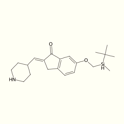 C[SiH](COc1ccc2c(c1)C(=O)/C(=C/C1CCNCC1)C2)C(C)(C)C